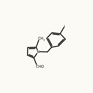 Cc1ccc(C=O)n1Cc1ccc(I)cc1